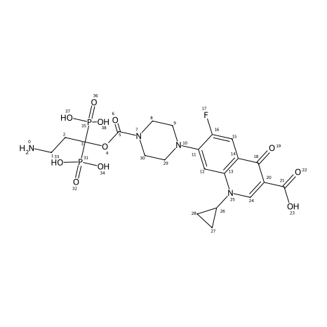 NCCC(OC(=O)N1CCN(c2cc3c(cc2F)c(=O)c(C(=O)O)cn3C2CC2)CC1)(P(=O)(O)O)P(=O)(O)O